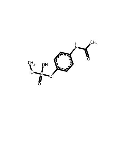 COP(=O)(O)Oc1ccc(NC(C)=O)cc1